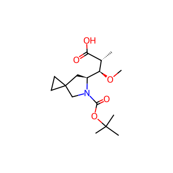 CO[C@H]([C@@H](C)C(=O)O)[C@@H]1CC2(CC2)CN1C(=O)OC(C)(C)C